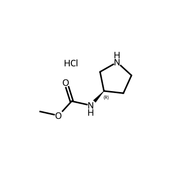 COC(=O)N[C@@H]1CCNC1.Cl